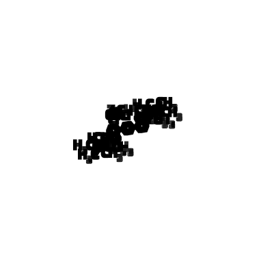 CC1=Cc2c(-c3ccc(-c4cccc5c4C=C(C)C5[Si](C)(C)C4C(C)=C(C)C(C)=C4C)cc3)cccc2C1[Si](C)(C)C1C(C)=C(C)C(C)=C1C.[Cl][Zr][Cl].[Cl][Zr][Cl]